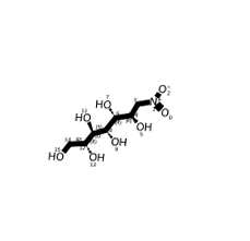 O=[N+]([O-])C[C@@H](O)[C@@H](O)[C@H](O)[C@H](O)[C@H](O)CO